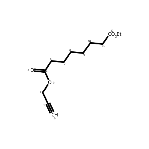 C#CCOC(=O)CCCCCCC(=O)OCC